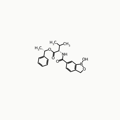 CC(C)[C@H](NC(=O)c1ccc2c(c1)B(O)OC2)C(=O)O[C@@H](C)c1ccccc1